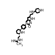 CC(=N)NCC[C@@H]1CCC[C@@H](c2ccc(-n3cc4cc(CCNC5CCNCC5)[nH]c4nc3=O)cc2)N1